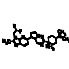 Cc1nc2ccc(-c3ccn4nc(C5(N)CCC(N(C)C)CC5)ncc34)nc2n1CC(F)F